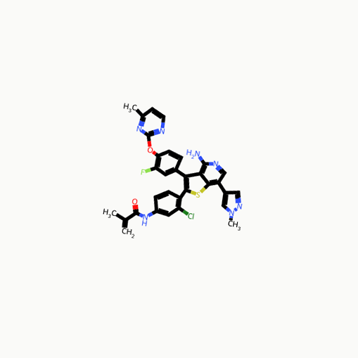 C=C(C)C(=O)Nc1ccc(-c2sc3c(-c4cnn(C)c4)cnc(N)c3c2-c2ccc(Oc3nccc(C)n3)c(F)c2)c(Cl)c1